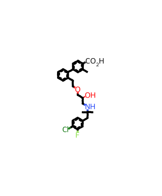 Cc1cc(-c2ccccc2CCOC[C@@H](O)CNC(C)(C)Cc2ccc(Cl)c(F)c2)ccc1C(=O)O